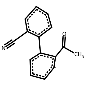 CC(=O)c1[c]cccc1-c1ccccc1C#N